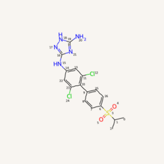 CC(C)S(=O)(=O)c1ccc(-c2c(Cl)cc(Nc3n[nH]c(N)n3)cc2Cl)cc1